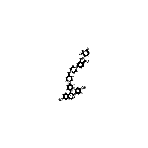 O=C1CC[C@H](N2Cc3cc(N4CCN(CC5CCN(c6ccc([C@@H]7c8ccc(O)cc8CO[C@H]7c7ccc(O)cc7)cc6)CC5)CC4)ccc3C2=O)C(=O)N1